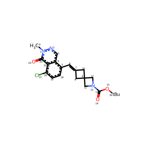 Cn1ncc2c(C=C3CC4(C3)CN(C(=O)OC(C)(C)C)C4)ccc(Cl)c2c1=O